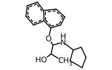 CC(O)C(NC1CCCC1)Oc1cccc2ccccc12